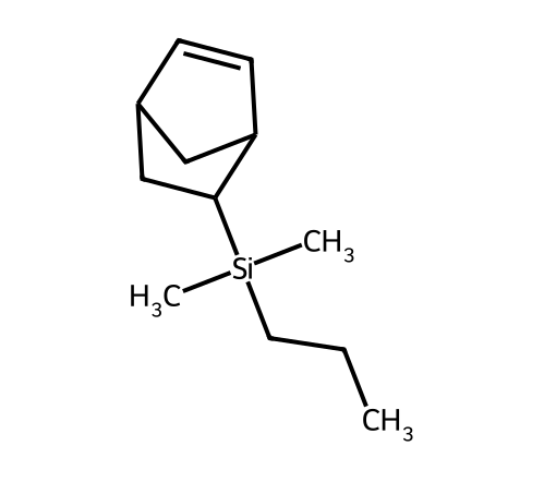 CCC[Si](C)(C)C1CC2C=CC1C2